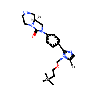 CCc1cnc(-c2ccc(N3C[C@@H]4CNCCN4C3=O)cc2)n1COCC[Si](C)(C)C